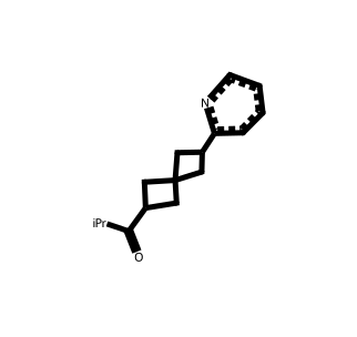 CC(C)C(=O)C1CC2(C1)CC(c1ccccn1)C2